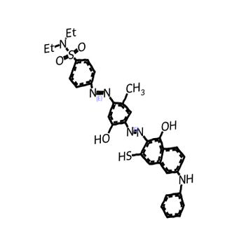 CCN(CC)S(=O)(=O)c1ccc(/N=N/c2cc(O)c(/N=N/c3c(S)cc4cc(Nc5ccccc5)ccc4c3O)cc2C)cc1